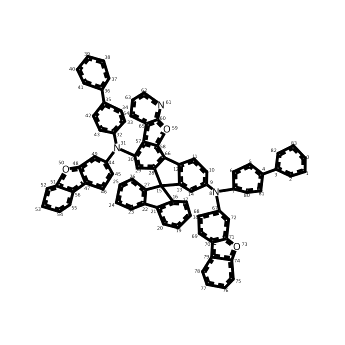 c1ccc(-c2ccc(N(c3ccc4c(c3)C3(c5ccccc5-c5ccccc53)c3cc(N(c5ccc(-c6ccccc6)cc5)c5ccc6c(c5)oc5ccccc56)c5c(oc6ncccc65)c3-4)c3ccc4c(c3)oc3ccccc34)cc2)cc1